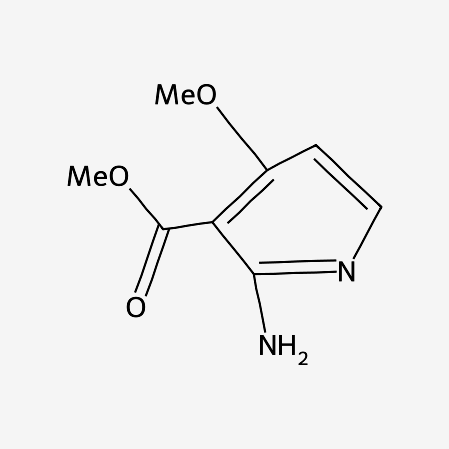 COC(=O)c1c(OC)ccnc1N